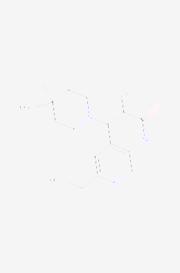 COCc1cc2c(N3CCC(C)(OC)CC3)c(C#N)c(=O)[nH]c2cn1